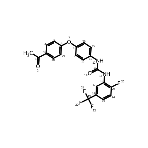 CC(=O)c1ccc(Oc2ccc(NC(=O)Nc3cc(C(F)(F)F)ccc3F)cc2)cc1